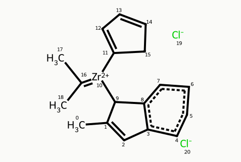 CC1=Cc2ccccc2[CH]1[Zr+2]([C]1=CC=CC1)=[C](C)C.[Cl-].[Cl-]